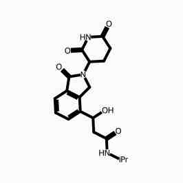 CC(C)NC(=O)CC(O)c1cccc2c1CN(C1CCC(=O)NC1=O)C2=O